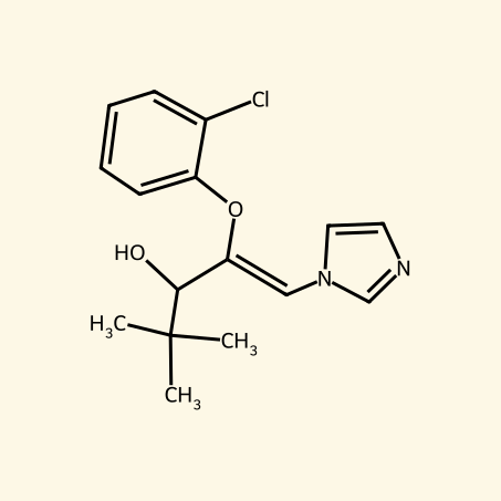 CC(C)(C)C(O)/C(=C/n1ccnc1)Oc1ccccc1Cl